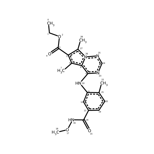 CCOC(=O)c1c(C)c2c(Nc3cc(C(=O)NOC)ccc3C)ncnn2c1C